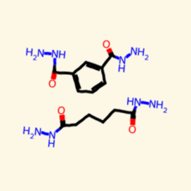 NNC(=O)CCCCC(=O)NN.NNC(=O)c1cccc(C(=O)NN)c1